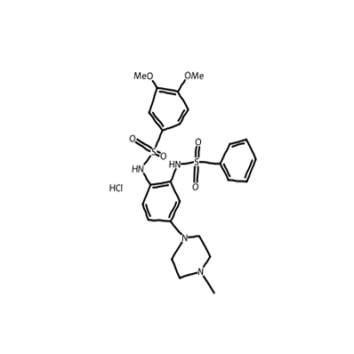 COc1ccc(S(=O)(=O)Nc2ccc(N3CCN(C)CC3)cc2NS(=O)(=O)c2ccccc2)cc1OC.Cl